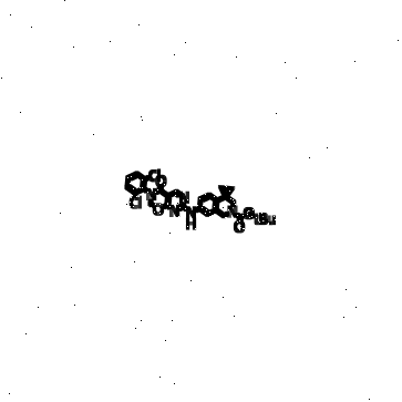 CC(C)(C)OC(=O)N1Cc2cc(Nc3ncc4c(n3)OCN(c3c(Cl)cccc3Cl)C4=O)ccc2C2(CC2)C1